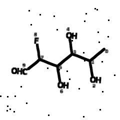 CC(O)C(O)C(O)C(F)C=O